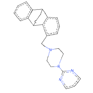 c1cnc(N2CCN(Cc3cccc4c3C3CCC4c4ccccc43)CC2)nc1